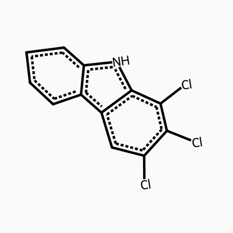 Clc1cc2c([nH]c3ccccc32)c(Cl)c1Cl